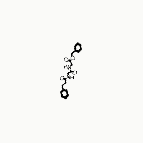 O=C(CCc1ccccc1)NCC(=O)NCC(=O)OCc1ccccc1